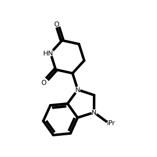 CC(C)N1CN(C2CCC(=O)NC2=O)c2ccccc21